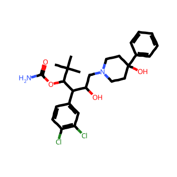 CC(C)(C)C(OC(N)=O)C(c1ccc(Cl)c(Cl)c1)C(O)CN1CCC(O)(c2ccccc2)CC1